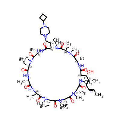 C/C=C/C[C@@H](C)[C@@H](O)[C@H]1C(=O)N[C@@H](CC)C(=O)N(C)[C@H](C)C(=O)N(C)[C@@H]([C@@H](C)CN2CCN(C3CCC3)CC2)C(=O)N[C@@H](C(C)C)C(=O)N(C)[C@@H](CC(C)C)C(=O)N[C@@H](C)C(=O)N[C@H](C)C(=O)N(C)[C@@H](CC(C)C)C(=O)N(C)[C@@H](CC(C)C)C(=O)N(C)[C@@H](C(C)C)C(=O)N1C